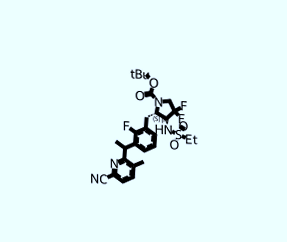 CCS(=O)(=O)N[C@@H]1[C@H](Cc2cccc(C(C)c3nc(C#N)ccc3C)c2F)N(C(=O)OC(C)(C)C)CC1(F)F